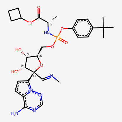 CN=C[C@@]1(c2ccc3c(N)ncnn23)O[C@H](COP(=O)(N[C@@H](C)C(=O)OC2CCC2)Oc2ccc(C(C)(C)C)cc2)[C@@H](O)[C@H]1O